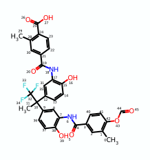 Cc1cc(C(=O)Nc2cc(C(C)(c3ccc(O)c(NC(=O)c4ccc(C(=O)O)c(C)c4)c3)C(F)(F)F)ccc2O)ccc1OC=O